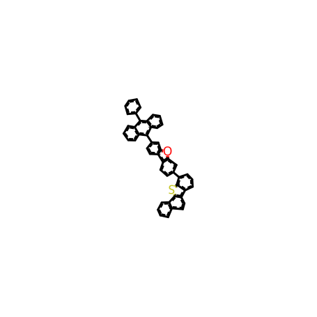 c1ccc(-c2c3ccccc3c(-c3ccc4c(c3)oc3cc(-c5cccc6c5sc5c7ccccc7ccc65)ccc34)c3ccccc23)cc1